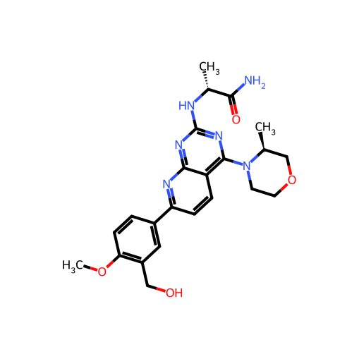 COc1ccc(-c2ccc3c(N4CCOC[C@@H]4C)nc(N[C@H](C)C(N)=O)nc3n2)cc1CO